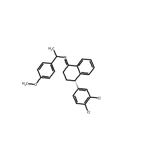 COc1ccc(C(C)N=C2CC[C@@H](c3ccc(Cl)c(Cl)c3)c3ccccc32)cc1